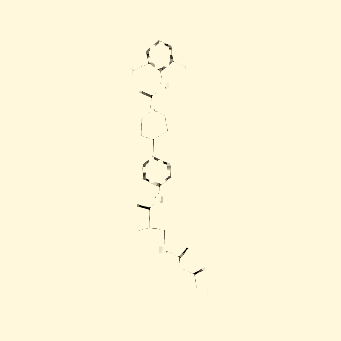 C=C(C)OC(=O)NCC(C)C(=O)Nc1ccc(C2CCN(C(=O)Nc3c(Cl)cccc3Cl)CC2)cc1